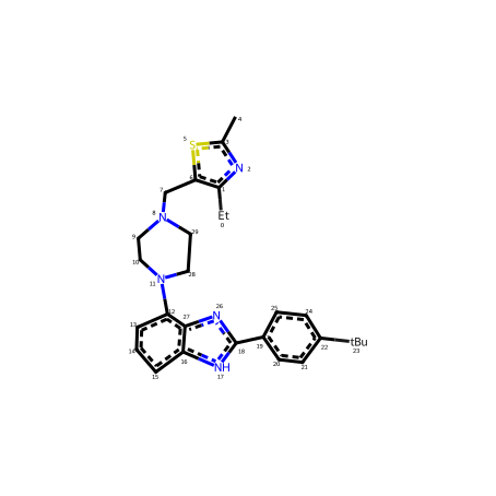 CCc1nc(C)sc1CN1CCN(c2cccc3[nH]c(-c4ccc(C(C)(C)C)cc4)nc23)CC1